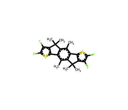 Cc1c2c(c(C)c3c1C(C)(C)c1c-3sc(F)c1F)C(C)(C)c1c-2sc(F)c1F